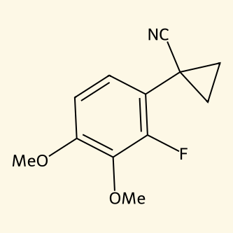 COc1ccc(C2(C#N)CC2)c(F)c1OC